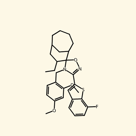 CCC1CC2CCCCC(C2)C12ON=C(c1cc3cccc(F)c3s1)N2Cc1ccc(OC)cc1OC